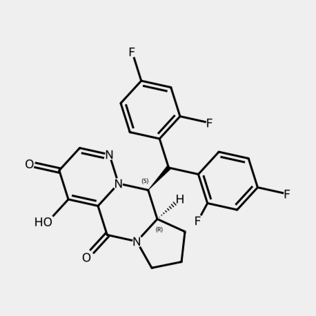 O=C1c2c(O)c(=O)cnn2[C@@H](C(c2ccc(F)cc2F)c2ccc(F)cc2F)[C@H]2CCCN12